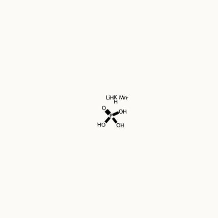 O=P(O)(O)O.[KH].[LiH].[Mn]